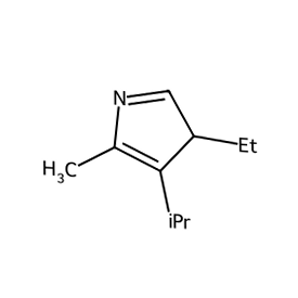 CCC1C=NC(C)=C1C(C)C